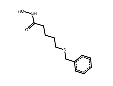 O=C(CCCCSCc1ccccc1)NO